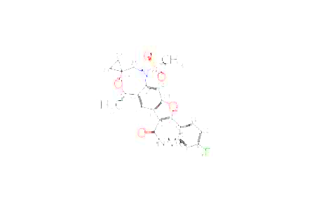 CNC(=O)c1c(-c2ccc(F)cc2)oc2cc3c(cc12)[C@@H](C)OC1(CC1)CN3S(C)(=O)=O